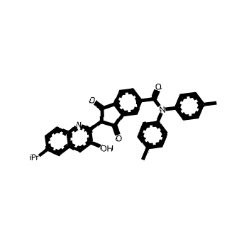 Cc1ccc(N(C(=O)c2ccc3c(c2)C(=O)C(c2nc4ccc(C(C)C)cc4cc2O)C3=O)c2ccc(C)cc2)cc1